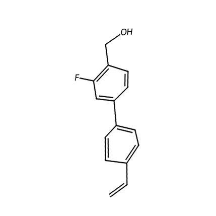 C=Cc1ccc(-c2ccc(CO)c(F)c2)cc1